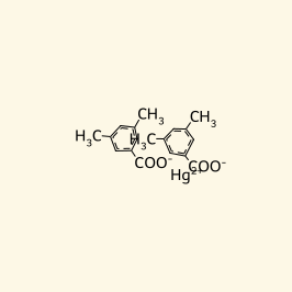 Cc1cc(C)cc(C(=O)[O-])c1.Cc1cc(C)cc(C(=O)[O-])c1.[Hg+2]